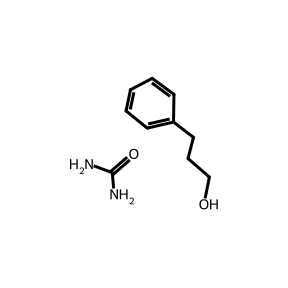 NC(N)=O.OCCCc1ccccc1